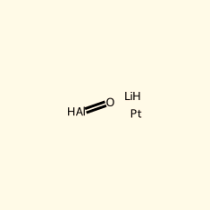 [LiH].[O]=[AlH].[Pt]